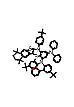 CC(C)(C)c1ccc(N2c3cc(N(c4ccccc4)c4ccccc4)cc4c3B(c3cc(C(C)(C)C)ccc3N4c3ccc(C(C)(C)C)cc3-c3ccccc3)c3c2sc2cc4c(cc32)C(C)(C)CCC4(C)C)cc1